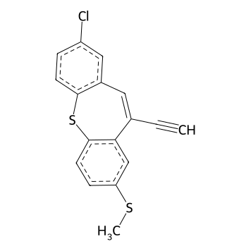 C#CC1=Cc2cc(Cl)ccc2Sc2ccc(SC)cc21